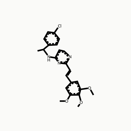 COc1cc(C=Cc2nccc(NC(C)c3ccc(Cl)cc3)n2)cc(OC)c1OC